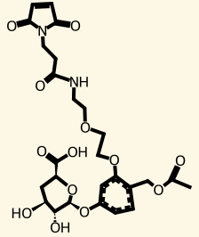 CC(=O)OCc1ccc(O[C@@H]2O[C@H](C(=O)O)C[C@H](O)[C@H]2O)cc1OCCOCCNC(=O)CCN1C(=O)C=CC1=O